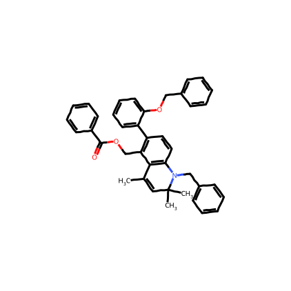 CC1=CC(C)(C)N(Cc2ccccc2)c2ccc(-c3ccccc3OCc3ccccc3)c(COC(=O)c3ccccc3)c21